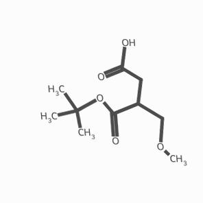 COCC(CC(=O)O)C(=O)OC(C)(C)C